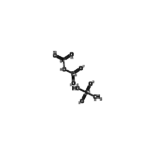 CS(=O)(=O)O.O=P(=O)OP(=O)=O